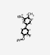 Cc1ncc(-c2ccc(OC(C)C)c(F)c2)nc1C(C)(C)C